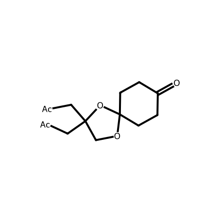 CC(=O)CC1(CC(C)=O)COC2(CCC(=O)CC2)O1